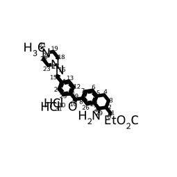 CCOC(=O)CC1CCc2ccc(C(=O)c3ccc(C=NN4CCN(C)CC4)cc3)cc2C1N.Cl.Cl